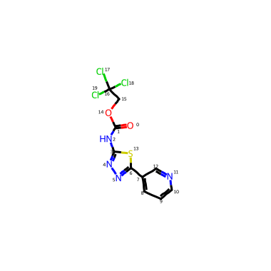 O=C(Nc1nnc(-c2cccnc2)s1)OCC(Cl)(Cl)Cl